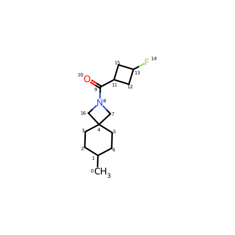 CC1CCC2(CC1)CN(C(=O)C1CC(F)C1)C2